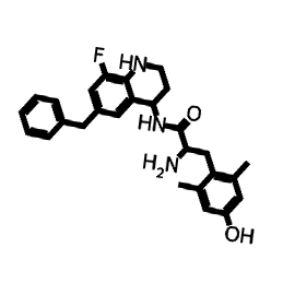 Cc1cc(O)cc(C)c1CC(N)C(=O)NC1CCNc2c(F)cc(Cc3ccccc3)cc21